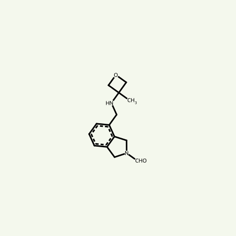 CC1(NCc2cccc3c2CN(C=O)C3)COC1